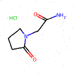 Cl.NC(=O)CN1CCCC1=O